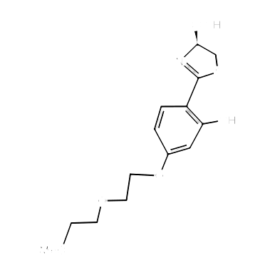 COCCOCCOc1ccc(C2=N[C@@H](C(=O)O)CS2)c(O)c1